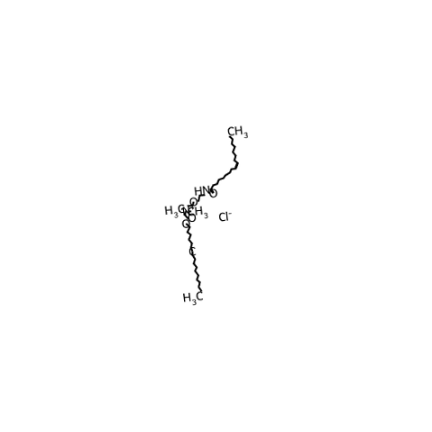 CCCCCCCC/C=C\CCCCCCCC(=O)NCCCOCC[N+](C)(C)CC(=O)OCCCCCCCCCCCCCCCCCC.[Cl-]